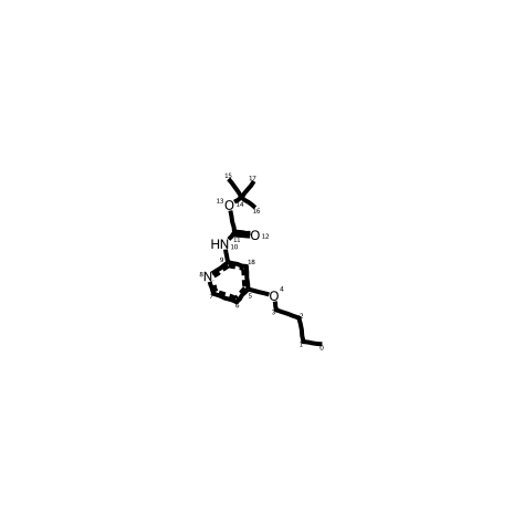 CCCCOc1ccnc(NC(=O)OC(C)(C)C)c1